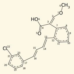 CO/C=C(/C(=O)O)c1ccccc1/C=C/C=C/c1cccc(Cl)c1